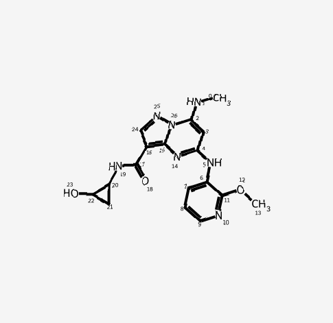 CNc1cc(Nc2cccnc2OC)nc2c(C(=O)NC3CC3O)cnn12